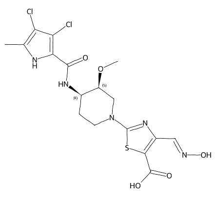 CO[C@H]1CN(c2nc(C=NO)c(C(=O)O)s2)CC[C@H]1NC(=O)c1[nH]c(C)c(Cl)c1Cl